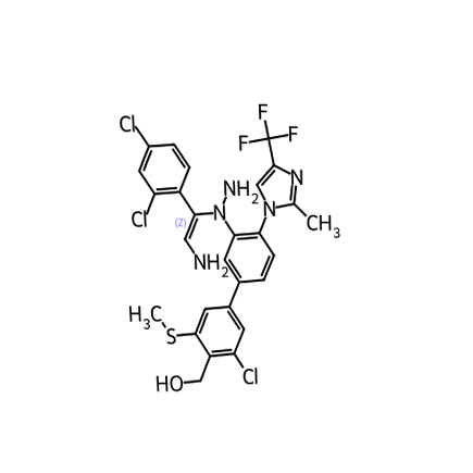 CSc1cc(-c2ccc(-n3cc(C(F)(F)F)nc3C)c(N(N)/C(=C\N)c3ccc(Cl)cc3Cl)c2)cc(Cl)c1CO